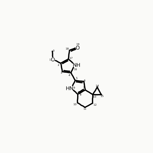 COc1cc(-c2cc3c([nH]2)CCCC32CC2)[nH]c1C=O